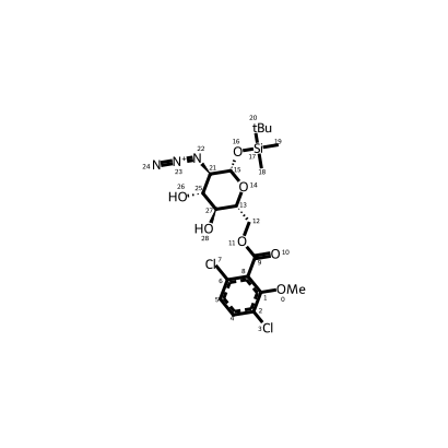 COc1c(Cl)ccc(Cl)c1C(=O)OC[C@H]1O[C@@H](O[Si](C)(C)C(C)(C)C)[C@H](N=[N+]=[N-])[C@@H](O)[C@@H]1O